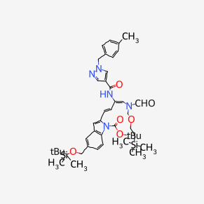 Cc1ccc(Cn2cc(C(=O)NC(/C=C/c3cc4cc(CO[Si](C)(C)C(C)(C)C)ccc4n3C(=O)OC(C)(C)C)=C/N(C=O)COCC[Si](C)(C)C)cn2)cc1